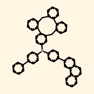 c1ccc(-c2ccc(N(c3ccc(-c4ccc5ccc6ccccc6c5c4)cc3)c3ccc4c(c3)Cc3ccccc3-c3ccccc3Cc3ccccc3-4)cc2)cc1